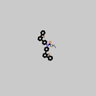 CC(=O)N(c1ccc(-c2cccc3c2sc2ccccc23)cc1)c1ccc(-c2cccc3c2sc2ccccc23)cc1